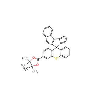 CC1(C)OB(c2ccc3c(c2)Sc2ccccc2C32c3ccccc3-c3c2ccc2ccccc32)OC1(C)C